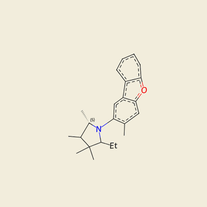 CCC1N(c2cc3c(cc2C)oc2ccccc23)[C@@H](C)C(C)C1(C)C